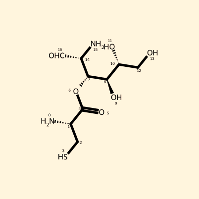 N[C@@H](CS)C(=O)O[C@@H]([C@H](O)[C@H](O)CO)[C@@H](N)C=O